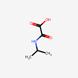 CC(C)NC(=O)C(=O)O